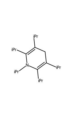 CC(C)C1=C(C(C)C)N(C(C)C)C(C(C)C)=C(C(C)C)C1